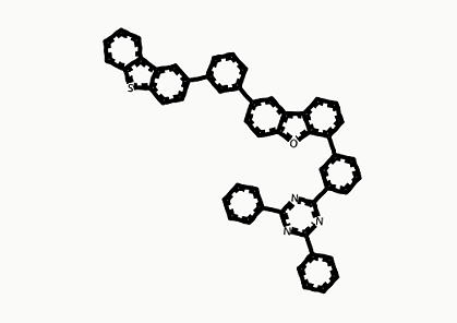 c1ccc(-c2nc(-c3ccccc3)nc(-c3cccc(-c4cccc5c4oc4ccc(-c6cccc(-c7ccc8sc9ccccc9c8c7)c6)cc45)c3)n2)cc1